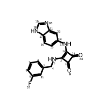 O=c1c(NCc2cccc(F)c2)c(Nc2ccc3[nH]cnc3c2)c1=O